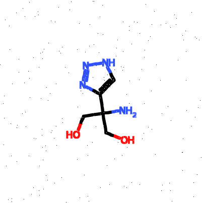 NC(CO)(CO)c1c[nH]nn1